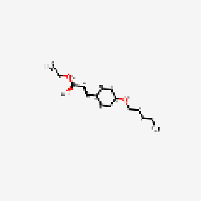 CCCCCOC1CCC(/C=C/C(=O)OCC)CC1